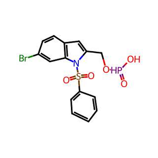 O=[PH](O)OCc1cc2ccc(Br)cc2n1S(=O)(=O)c1ccccc1